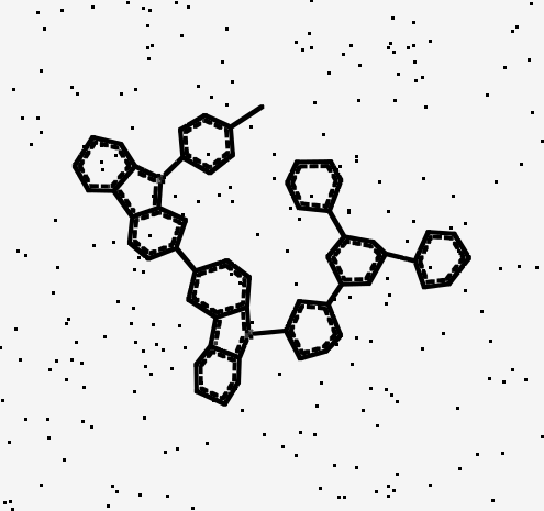 Cc1ccc(-n2c3ccccc3c3ccc(-c4ccc5c(c4)c4ccccc4n5-c4cccc(-c5cc(-c6ccccc6)cc(-c6ccccc6)c5)c4)cc32)cc1